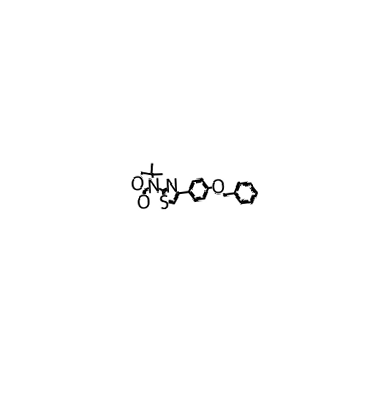 CC1(C)COC(=O)N1c1nc(-c2ccc(OCc3ccccc3)cc2)cs1